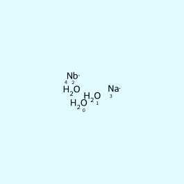 O.O.O.[Na].[Nb]